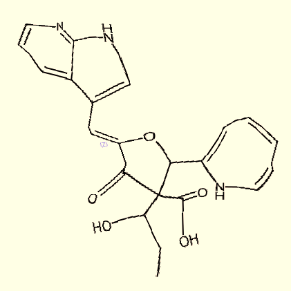 CCC(O)C1(C(=O)O)C(=O)/C(=C/c2c[nH]c3ncccc23)OC1C1=CC=CC=CN1